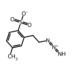 Cc1ccc(S(=O)(=O)[O-])c(CCN=[N+]=N)c1